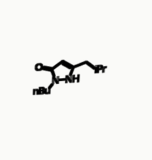 CCCCn1[nH]c(CC(C)C)cc1=O